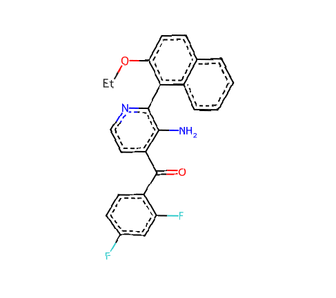 CCOc1ccc2ccccc2c1-c1nccc(C(=O)c2ccc(F)cc2F)c1N